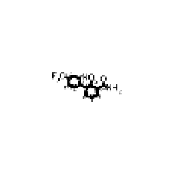 NC(=O)c1cccc(-c2ccc(C(F)(F)F)cc2)c1[N+](=O)[O-]